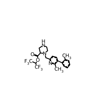 Cc1ccccc1-c1ccc(CN2CCNCC2C(=O)OC(C(F)(F)F)C(F)(F)F)nc1C